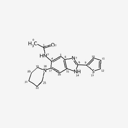 CC(=O)Nc1cc2nc(-c3cccs3)[nH]c2cc1N1CCCCC1